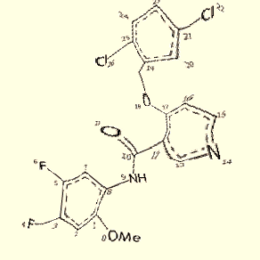 COc1cc(F)c(F)cc1NC(=O)c1cnccc1Oc1cc(Cl)ccc1Cl